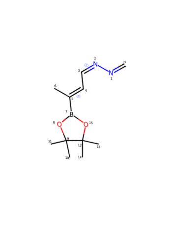 C=N/N=C\C=C(/C)B1OC(C)(C)C(C)(C)O1